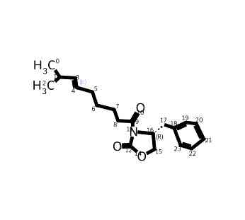 CC(C)/C=C/CCCCC(=O)N1C(=O)OC[C@H]1Cc1ccccc1